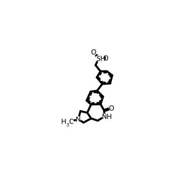 CN1CC2CNC(=O)c3cc(-c4cccc(C[SH](=O)=O)c4)ccc3C2C1